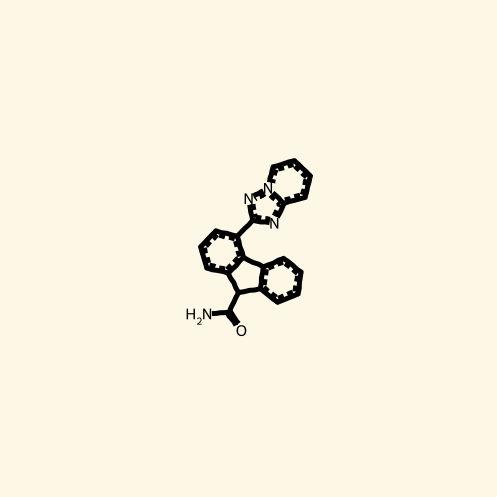 NC(=O)C1c2ccccc2-c2c(-c3nc4ccccn4n3)cccc21